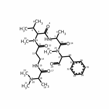 CC(NC(=O)C(C(C)C)N(C)C(=O)CCNC(=O)C(C)N(C)C)C(=O)N(C)C(C=O)Cc1ccccc1